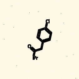 CC(C)C(=O)Cc1ccc(Cl)cc1